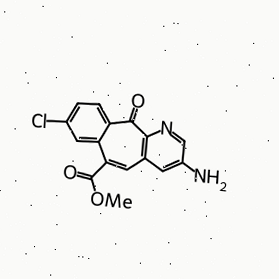 COC(=O)c1cc2cc(N)cnc2c(=O)c2ccc(Cl)cc12